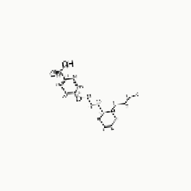 CCCCC1CCCCC1CCCOc1ccc(C(=O)O)cc1